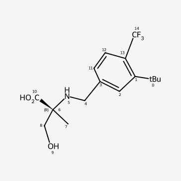 CC(C)(C)c1cc(CN[C@](C)(CO)C(=O)O)ccc1C(F)(F)F